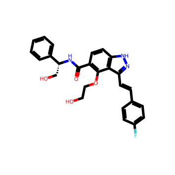 O=C(N[C@H](CO)c1ccccc1)c1ccc2[nH]nc(/C=C/c3ccc(F)cc3)c2c1OCCO